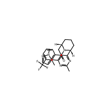 Cc1nc(-c2ccnn2C)c2c(n1)[C@H]1CCC[C@@H](C2)N1C(=O)c1cccc(C(F)(F)F)c1C